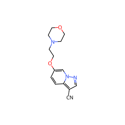 N#Cc1cnn2cc(OCCN3CCOCC3)ccc12